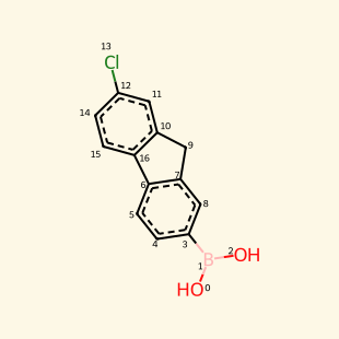 OB(O)c1ccc2c(c1)Cc1cc(Cl)ccc1-2